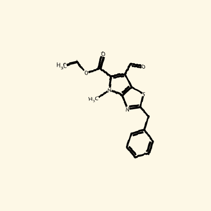 CCOC(=O)c1c(C=O)c2sc(Cc3ccccc3)nc2n1C